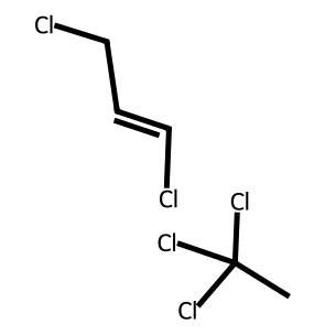 CC(Cl)(Cl)Cl.ClC=CCCl